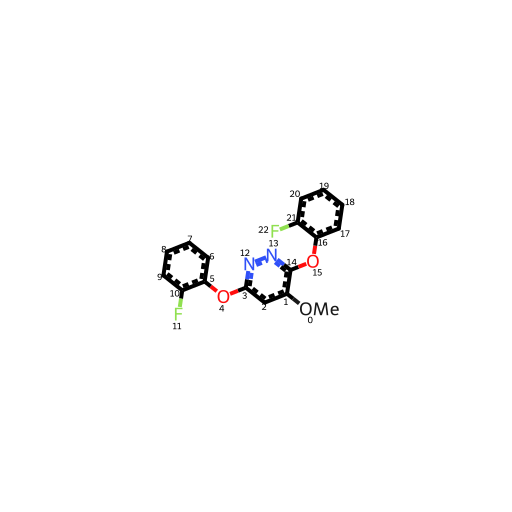 COc1cc(Oc2ccccc2F)nnc1Oc1ccccc1F